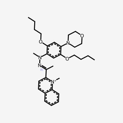 CCCCOc1cc(N(C)/N=C(\C)c2ccc3ccccc3[n+]2C)c(OCCCC)cc1N1CCOCC1